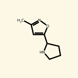 Cc1cc(C2CCCN2)on1